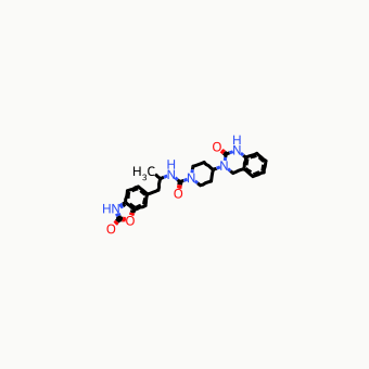 CC(Cc1ccc2[nH]c(=O)oc2c1)NC(=O)N1CCC(N2Cc3ccccc3NC2=O)CC1